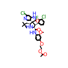 COc1cc(OCCOC(C)=O)ccc1NC(=O)[C@@H]1N[C@@H](CC(C)(C)C)[C@@]2(C(=O)Nc3cc(Cl)ncc32)[C@H]1c1cccc(Cl)c1F